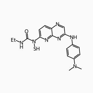 CCNC(=O)N(S)c1ccc2ncc(Nc3ccc(N(C)C)cc3)nc2n1